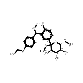 CCOc1ccc(C(OC)c2cc(C3(OC)O[C@H](CO)[C@@H](O)[C@H](O)[C@H]3O)ccc2Cl)cc1